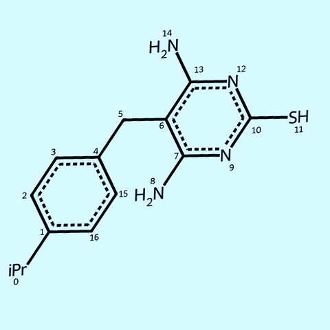 CC(C)c1ccc(Cc2c(N)nc(S)nc2N)cc1